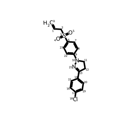 C=CCS(=O)(=O)c1ccc(N2CCC(c3ccc(Cl)cc3)=N2)cc1